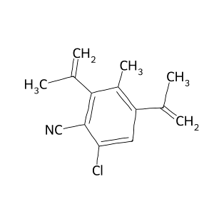 C=C(C)c1cc(Cl)c(C#N)c(C(=C)C)c1C